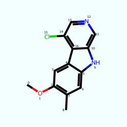 COc1cc2c(cc1C)[nH]c1cncc(Cl)c12